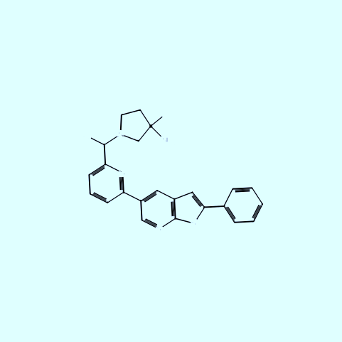 NC1(C(F)(F)F)CCN(C(O)c2cccc(-c3cnc4[nH]c(-c5ccccc5)cc4c3)n2)C1